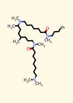 CC(C)CCCN(C)C(=O)CCCCCCN(C)C(C)CCC(C)CCCN(C)C(=O)CCCCCCCN(C)C